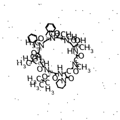 CC(C)C[C@H]1C(=O)N[C@@H](COC(C)(C)C)C(=O)NC(C(=O)N2CCCCC2)CC(=O)N(C)CC(=O)N[C@@H]([C@@H](C)O)C(=O)N(C)[C@@H](C)C(=O)N(C)[C@@H](Cc2ccccc2)C(=O)N(C)[C@@H](Cc2ccccc2)C(=O)N1C